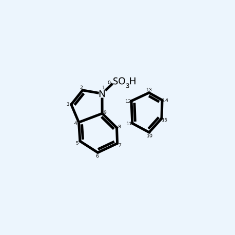 O=S(=O)(O)n1ccc2ccccc21.c1ccccc1